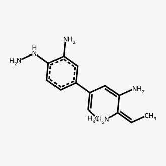 C\C=C(N)/C(N)=C\C(=C/C)c1ccc(NN)c(N)c1